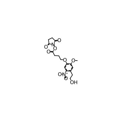 COc1cc(CCO)c([N+](=O)[O-])cc1OCCCC(=O)ON1C(=O)CCC1=O